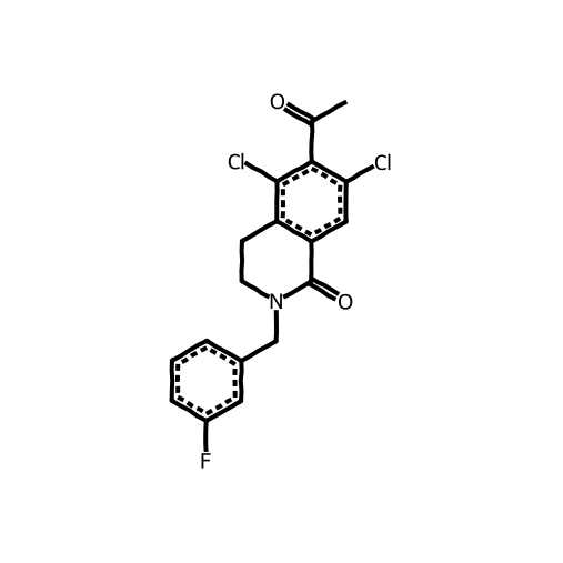 CC(=O)c1c(Cl)cc2c(c1Cl)CCN(Cc1cccc(F)c1)C2=O